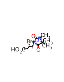 CN1C(=O)[N+](Br)(CCCC(=O)O)C(=O)C1(C)C